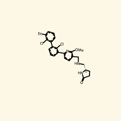 CCc1cccc(-c2cccc(-c3ccc(CNC[C@@H]4CCC(=O)N4)c(OC)n3)c2Cl)c1Cl